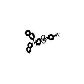 N#Cc1ccc(B2Oc3ccc(N(c4ccc5ccccc5c4)C4C=c5ccccc5=CC4)cc3O2)cc1